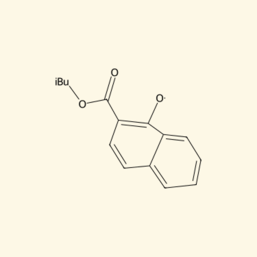 CCC(C)OC(=O)c1ccc2ccccc2c1[O]